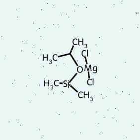 CC(C)O[Si](C)C.[Cl][Mg][Cl]